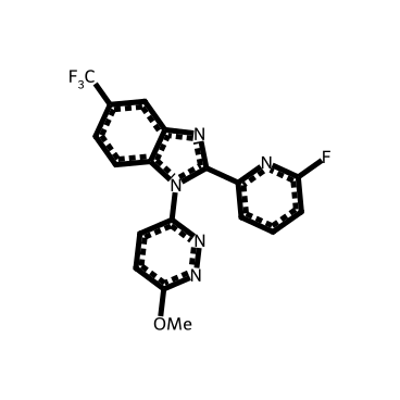 COc1ccc(-n2c(-c3cccc(F)n3)nc3cc(C(F)(F)F)ccc32)nn1